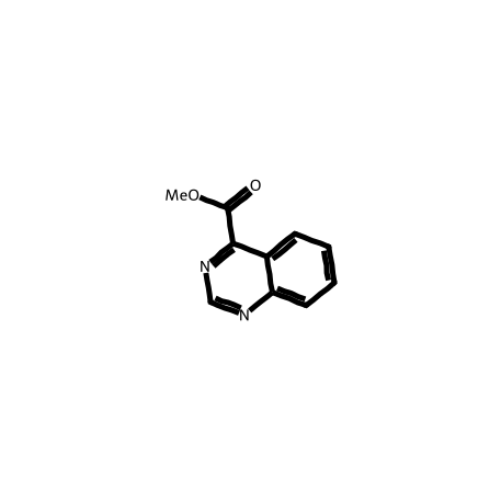 COC(=O)c1ncnc2ccccc12